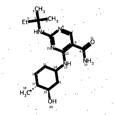 CCC(C)(C)Nc1ncc(C(N)=O)c(NC2CC[C@@H](C)[C@H](O)C2)n1